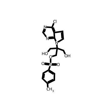 Cc1ccc(S(=O)(=O)OCC(CO)(CO)n2ccc3c(Cl)ncnc32)cc1